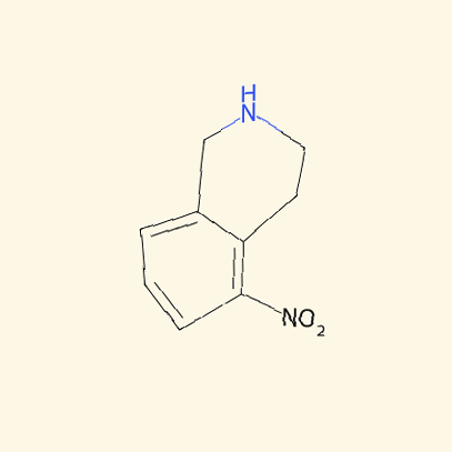 O=[N+]([O-])c1cccc2c1CCNC2